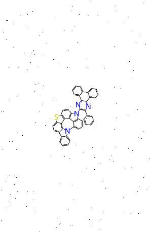 c1ccc(-c2nc3c4ccccc4c4ccccc4c3nc2-n2c3ccc4sc5ccc6c7ccccc7n7c8cccc2c8c3c4c5c67)cc1